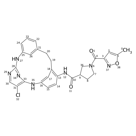 Cc1cc(C(=O)N2CCC(C(=O)Nc3ccc4cc3CCc3cccc(c3)Nc3ncc(Cl)c(n3)N4)C2)no1